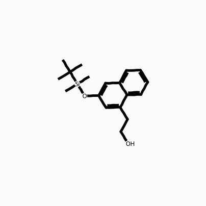 CC(C)(C)[Si](C)(C)Oc1cc(CCO)c2ccccc2c1